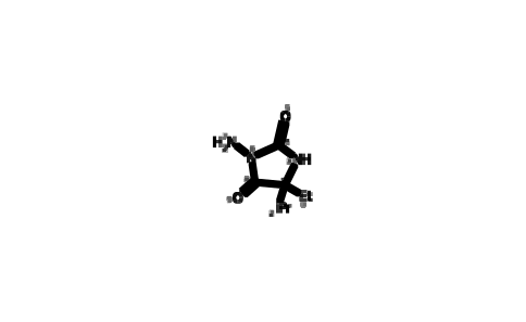 CCC1(C(C)C)NC(=O)N(N)C1=O